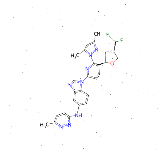 Cc1ccc(Nc2ccc3c(c2)ncn3-c2ccc([C@H]3C[C@@H](C(F)F)CO3)c(-n3nc(C#N)cc3C)n2)nn1